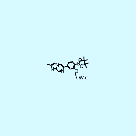 COCOc1cc(-c2cn3cc(C)nc3cn2)ccc1B1OC(C)(C)C(C)(C)O1